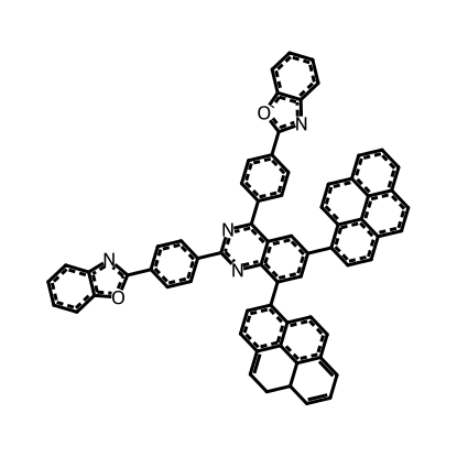 C1=CC2CC=c3ccc(-c4cc(-c5ccc6ccc7cccc8ccc5c6c78)cc5c(-c6ccc(-c7nc8ccccc8o7)cc6)nc(-c6ccc(-c7nc8ccccc8o7)cc6)nc45)c4ccc(c2c34)=C1